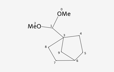 COC(OC)C12CCC(CC1)C2